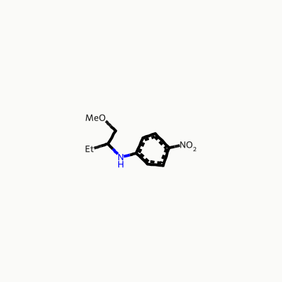 CCC(COC)Nc1ccc([N+](=O)[O-])cc1